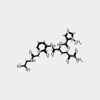 CCC(CC)CNC(=O)Cn1cccc(NC(=O)C(CCC(=O)C(N)=O)NC(=O)c2cncn2C)c1=O